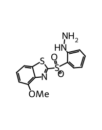 COc1cccc2sc(S(=O)(=O)c3ccccc3NN)nc12